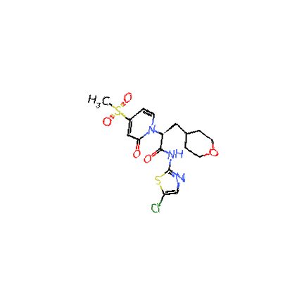 CS(=O)(=O)c1ccn([C@@H](CC2CCOCC2)C(=O)Nc2ncc(Cl)s2)c(=O)c1